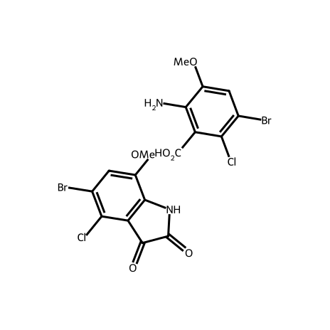 COc1cc(Br)c(Cl)c(C(=O)O)c1N.COc1cc(Br)c(Cl)c2c1NC(=O)C2=O